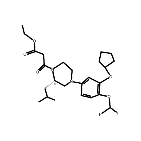 CCOC(=O)CC(=O)N1CCN(c2ccc(OC(F)F)c(OC3CCCC3)c2)C[C@@H]1CC(C)C